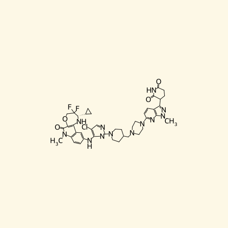 Cn1nc(C2CCC(=O)NC2=O)c2ccc(N3CCN(CC4CCN(c5ncc(Cl)c(Nc6ccc7c(c6)c6c(c(=O)n7C)OCC(F)(F)[C@H](C7CC7)N6)n5)CC4)CC3)nc21